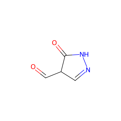 O=CC1C=NNC1=O